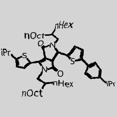 CCCCCCCCC(CCCCCC)CN1C(=O)C2C(=C1c1ccc(C(C)C)s1)C(=O)N(CC(CCCCCC)CCCCCCCC)C2c1ccc(-c2ccc(C(C)C)cc2)s1